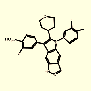 O=C(O)c1ccc(-c2c(C3CCOCC3)n(-c3ccc(F)c(F)c3)c3cc4cn[nH]c4cc23)cc1F